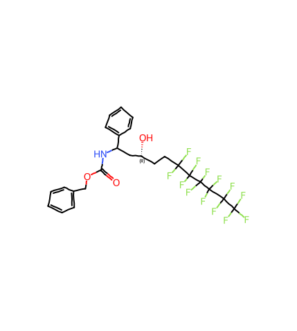 O=C(NC(C[C@H](O)CCC(F)(F)C(F)(F)C(F)(F)C(F)(F)C(F)(F)C(F)(F)F)c1ccccc1)OCc1ccccc1